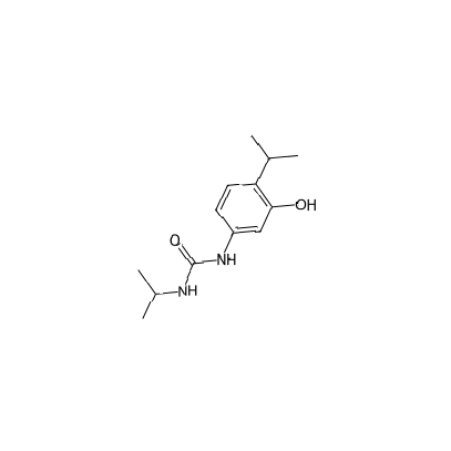 CC(C)NC(=O)Nc1ccc(C(C)C)c(O)c1